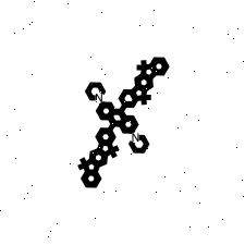 CC1(C)C2=C(CCC(c3c4cc(N5CCCCC5)ccc4c(-c4ccc5c(c4)C(C)(C)c4cc6c(cc4-5)C(C)(C)c4ccccc4-6)c4cc(N5CCCCC5)ccc34)=C2)c2cc3c(cc21)-c1ccccc1C3(C)C